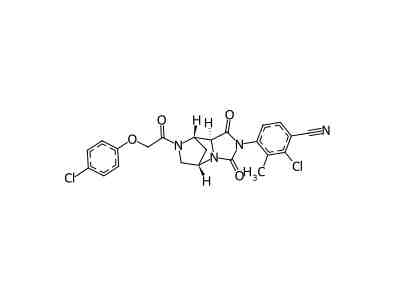 Cc1c(N2C(=O)[C@@H]3[C@@H]4C[C@@H](CN4C(=O)COc4ccc(Cl)cc4)N3C2=O)ccc(C#N)c1Cl